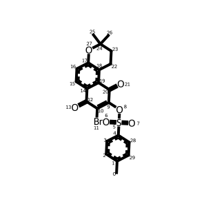 Cc1ccc(S(=O)(=O)OC2=C(Br)C(=O)c3ccc4c(c3C2=O)CCC(C)(C)O4)cc1